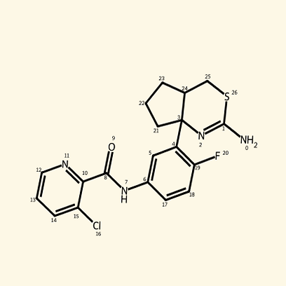 NC1=NC2(c3cc(NC(=O)c4ncccc4Cl)ccc3F)CCCC2CS1